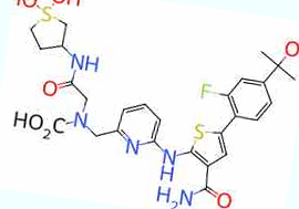 CC(C)(O)c1ccc(-c2cc(C(N)=O)c(Nc3cccc(CN(CC(=O)NC4CCS(O)(O)C4)C(=O)O)n3)s2)c(F)c1